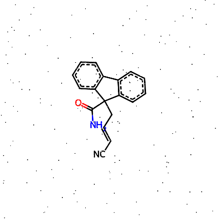 N#CC=CCC1(C(N)=O)c2ccccc2-c2ccccc21